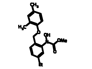 CCc1ccc(COc2ccc(C)cc2C)c(N(O)C(=O)OC)c1